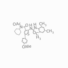 COc1ccc(-c2cc(C(=O)N(OC(C)=O)C3CCCCC3)c(NC(=O)Nc3c(C)cc(C)cc3C)s2)cc1